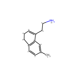 Cc1ccc2c(c1)C(CCN)=CCC2